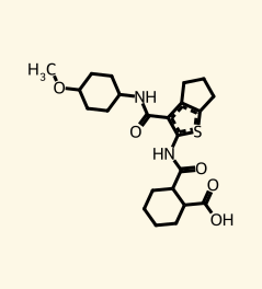 COC1CCC(NC(=O)c2c(NC(=O)C3CCCCC3C(=O)O)sc3c2CCC3)CC1